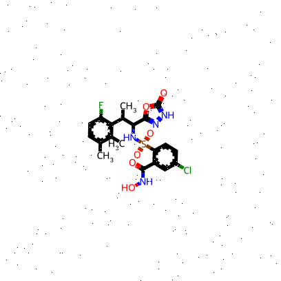 Cc1ccc(F)c(C(C)C(NS(=O)(=O)c2ccc(Cl)cc2C(=O)NO)c2n[nH]c(=O)o2)c1C